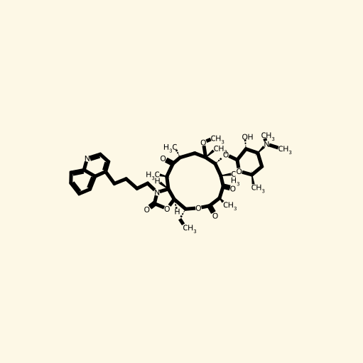 CC[C@H]1OC(=O)[C@H](C)C(=O)[C@H](C)[C@@H](OC2O[C@H](C)C[C@H](N(C)C)[C@H]2O)[C@@](C)(OC)C[C@@H](C)C(=O)[C@H](C)[C@@H]2[C@@H]1OC(=O)N2CCCCc1ccnc2ccccc12